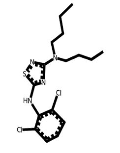 CCCCN(CCCC)c1nsc(Nc2c(Cl)cccc2Cl)n1